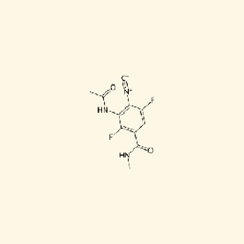 [C-]#[N+]c1c(F)cc(C(=O)NC)c(F)c1NC(C)=O